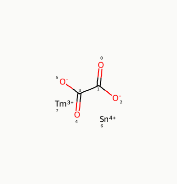 O=C([O-])C(=O)[O-].[Sn+4].[Tm+3]